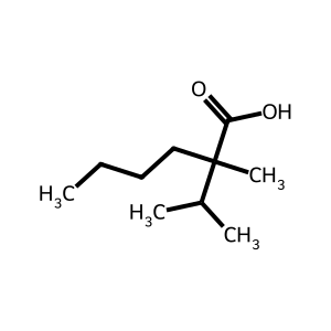 CCCCC(C)(C(=O)O)C(C)C